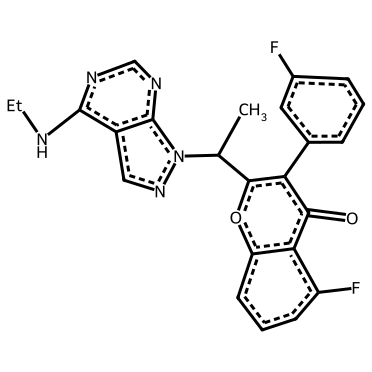 CCNc1ncnc2c1cnn2C(C)c1oc2cccc(F)c2c(=O)c1-c1cccc(F)c1